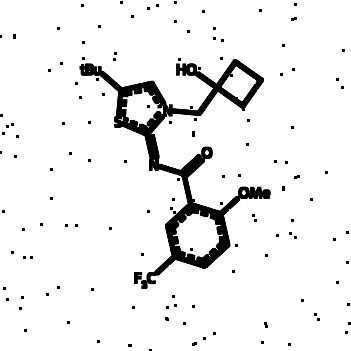 COc1ccc(C(F)(F)F)cc1C(=O)N=c1sc(C(C)(C)C)cn1CC1(O)CCC1